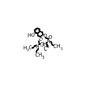 CCCN(CCC)C(=O)COC1Cc2cccc(O)c2CC1OCC(=O)N(CCC)CCC